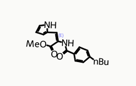 CCCCc1ccc(C(=O)N/C(=C/c2ccc[nH]2)C(=O)OC)cc1